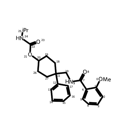 COc1ccccc1C(=O)NCC1(c2ccccc2)CCC(OC(=O)NC(C)C)CC1